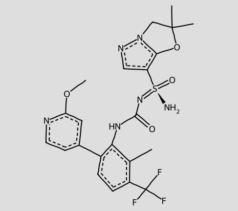 COc1cc(-c2ccc(C(F)(F)F)c(C)c2NC(=O)N=[S@@](N)(=O)c2cnn3c2OC(C)(C)C3)ccn1